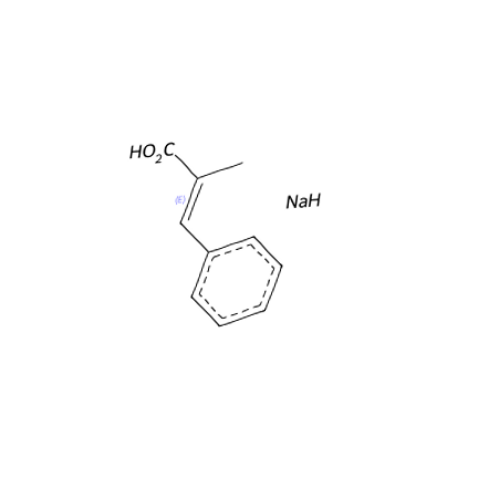 C/C(=C\c1ccccc1)C(=O)O.[NaH]